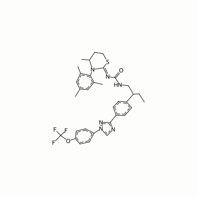 CCC(CNC(=O)/N=C1\SCCC(C)N1c1c(C)cc(C)cc1C)c1ccc(-c2ncn(-c3ccc(OC(F)(F)F)cc3)n2)cc1